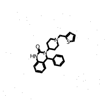 O=C1Nc2ccccc2C(c2ccccc2)N1C1CCN(Cc2cccs2)CC1